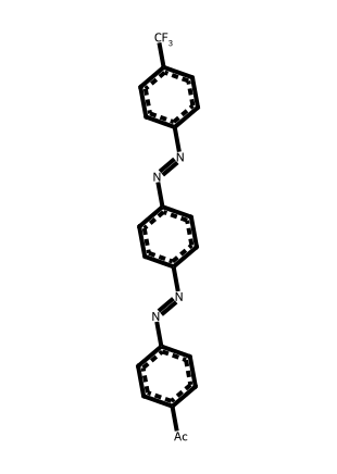 CC(=O)c1ccc(N=Nc2ccc(N=Nc3ccc(C(F)(F)F)cc3)cc2)cc1